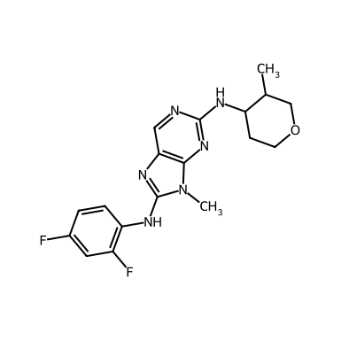 CC1COCCC1Nc1ncc2nc(Nc3ccc(F)cc3F)n(C)c2n1